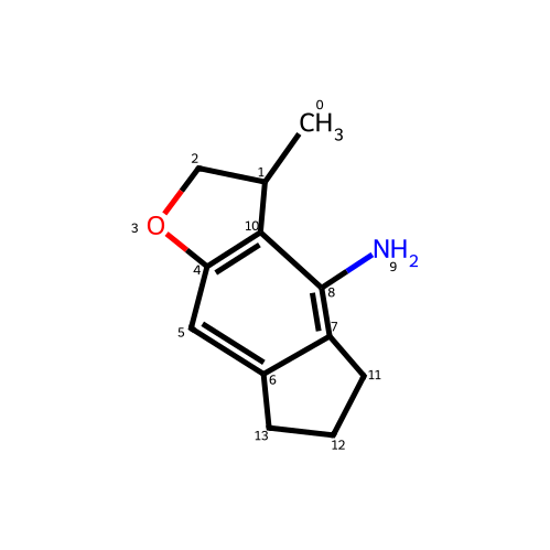 CC1COc2cc3c(c(N)c21)CCC3